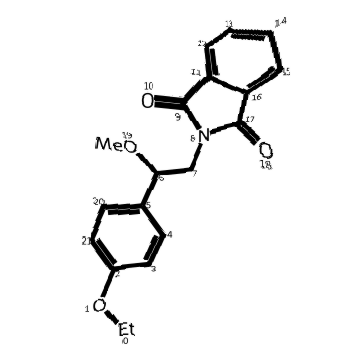 CCOc1ccc(C(CN2C(=O)c3ccccc3C2=O)OC)cc1